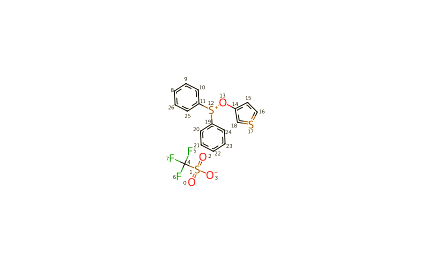 O=S(=O)([O-])C(F)(F)F.c1ccc([S+](Oc2ccsc2)c2ccccc2)cc1